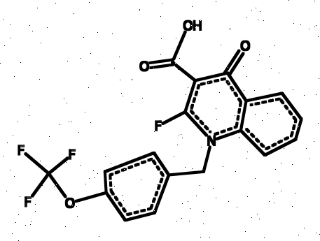 O=C(O)c1c(F)n(Cc2ccc(OC(F)(F)F)cc2)c2ccccc2c1=O